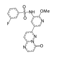 COc1ncc(-c2ccc3nccc(=O)n3n2)cc1NS(=O)(=O)c1cccc(F)c1